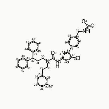 O=C(Nc1nc(-c2ccc(CN[SH](=O)=O)cc2)c(Cl)s1)N(CCc1cccc(F)c1)CCC(c1ccccc1)c1ccccc1